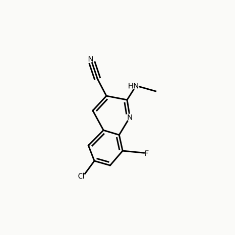 CNc1nc2c(F)cc(Cl)cc2cc1C#N